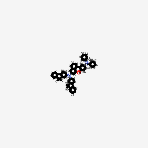 CC1(C)c2ccccc2-c2ccc(N(c3ccc4c(c3)C(C)(C)c3ccccc3-4)c3cc4c5c(cccc5c3)-c3cc(N(c5ccccc5)c5ccccc5)ccc3O4)cc21